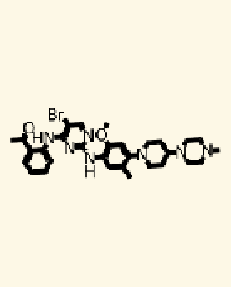 COc1cc(N2CCC(N3CCN(C)CC3)CC2)c(C)cc1Nc1ncc(Br)c(Nc2ccccc2C(C)=O)n1